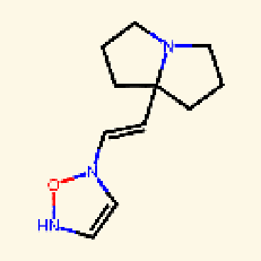 C1=CN(/C=C/C23CCCN2CCC3)ON1